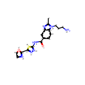 Cc1nc2cc(C(=O)Nc3nnc(-c4ncco4)s3)ccc2n1CCCN